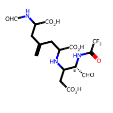 C=C(CC(NC=O)C(=O)O)CC(NC(CC(=O)O)[C@@H](C=O)NC(=O)C(F)(F)F)C(=O)O